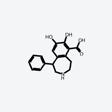 O=C(O)c1c(O)c(O)cc2c1CCNCC2c1ccccc1